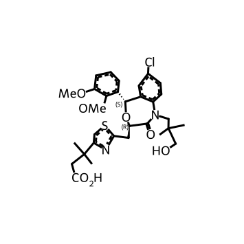 COc1cccc([C@H]2O[C@H](Cc3nc(C(C)(C)CC(=O)O)cs3)C(=O)N(CC(C)(C)CO)c3ccc(Cl)cc32)c1OC